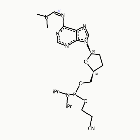 CC(C)N(C(C)C)P(OCCC#N)OC[C@@H]1CC[C@H](n2cnc3c(/N=C\N(C)C)ncnc32)O1